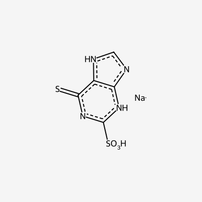 O=S(=O)(O)c1nc(=S)c2[nH]cnc2[nH]1.[Na]